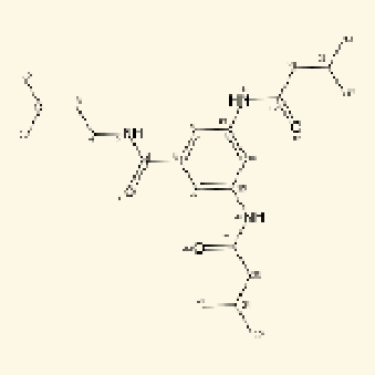 CC(C)CCNC(=O)c1cc(NC(=O)CC(C)C)cc(NC(=O)CC(C)C)c1